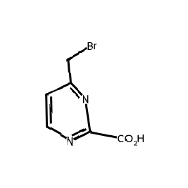 O=C(O)c1nccc(CBr)n1